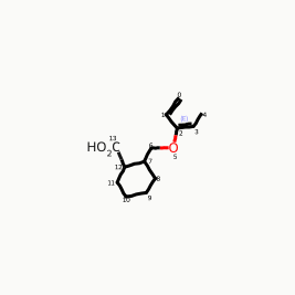 C=C/C(=C\C)OCC1CCCCC1C(=O)O